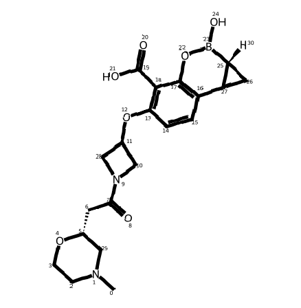 CN1CCO[C@H](CC(=O)N2CC(Oc3ccc4c(c3C(=O)O)OB(O)[C@@H]3CC43)C2)C1